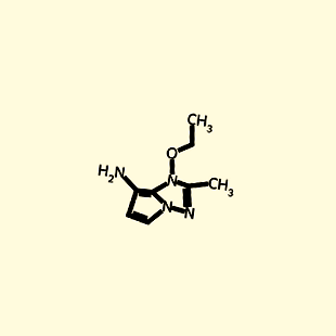 CCOn1c(C)nn2ccc(N)c12